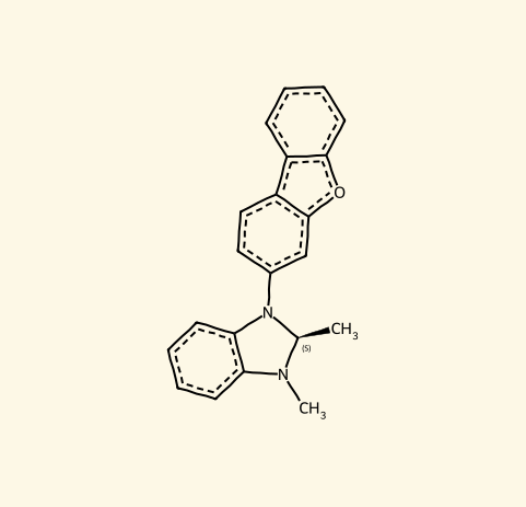 C[C@H]1N(C)c2ccccc2N1c1ccc2c(c1)oc1ccccc12